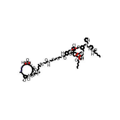 CCCCCC(=O)Nc1cccc(CN(Cc2cc(CN(Cc3ccccn3)Cc3cccc(NC(=O)CCCCC)n3)cc(OCCCCN(Cc3ccc(C(=O)NCCOCCOCCNC(=O)CCSSC(C)(C)CCC(=O)N(C)[C@H](C)C(=O)O[C@H]4CC(=O)N(C)c5cc(cc(OC)c5Cl)C/C(C)=C/C=C\C[C@]5(O)C[C@@H](OC(=O)N5)[C@H](C)C5O[C@@]54C)cc3)C(=O)C3(c4ccc(Cl)cc4)CCCCC3)c2)Cc2ccccn2)n1